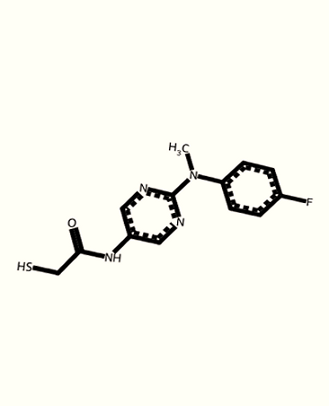 CN(c1ccc(F)cc1)c1ncc(NC(=O)CS)cn1